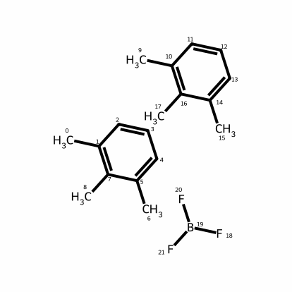 Cc1cccc(C)c1C.Cc1cccc(C)c1C.FB(F)F